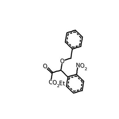 CCOC(=O)C(=O)C(OCc1ccccc1)c1ccccc1[N+](=O)[O-]